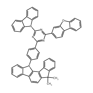 CC1(C)c2ccccc2-c2c1ccc1c3ccccc3n(-c3ccc(-c4nc(-c5ccc6c(c5)oc5ccccc56)nc(-n5c6ccccc6c6ccccc65)n4)cc3)c21